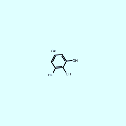 Oc1cccc(O)c1O.[Ca]